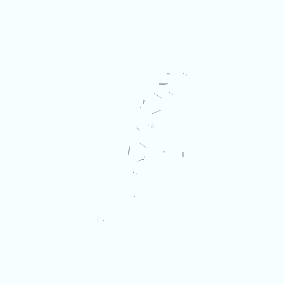 CN1CCC[C@@H]1c1cc2cnc(NC(=O)c3ccc(N4CCN(CC5CCNCC5)CC4)nc3)cc2[nH]1.Cl.Cl